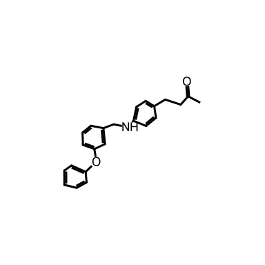 CC(=O)CCc1ccc(NCc2cccc(Oc3ccccc3)c2)cc1